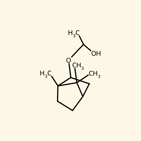 CC(O)OC1CC2CCC1(C)C2(C)C